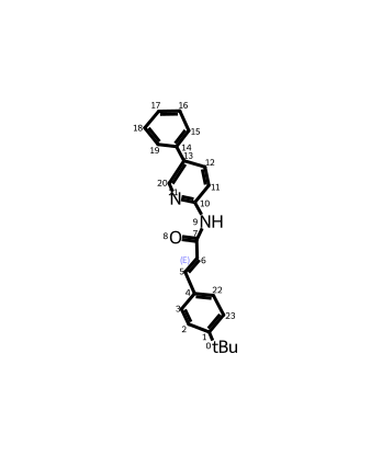 CC(C)(C)c1ccc(/C=C/C(=O)Nc2ccc(-c3ccccc3)cn2)cc1